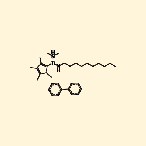 CCCCCCCCCC[NH][Ti]([C]1=C(C)C(C)=C(C)C1C)[SiH](C)C.c1ccc(-c2ccccc2)cc1